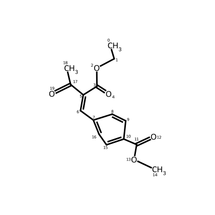 CCOC(=O)C(=Cc1ccc(C(=O)OC)cc1)C(C)=O